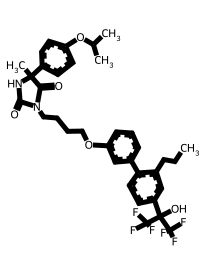 CCCc1cc(C(O)(C(F)(F)F)C(F)(F)F)ccc1-c1cccc(OCCCCN2C(=O)NC(C)(c3ccc(OC(C)C)cc3)C2=O)c1